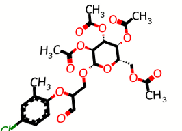 CC(=O)OC[C@@H]1O[C@H](OCC(C=O)Oc2ccc(Cl)cc2C)[C@@H](OC(C)=O)[C@H](OC(C)=O)[C@@H]1OC(C)=O